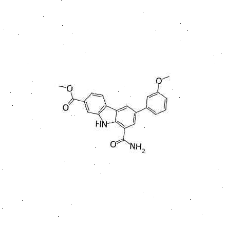 COC(=O)c1ccc2c(c1)[nH]c1c(C(N)=O)cc(-c3cccc(OC)c3)cc12